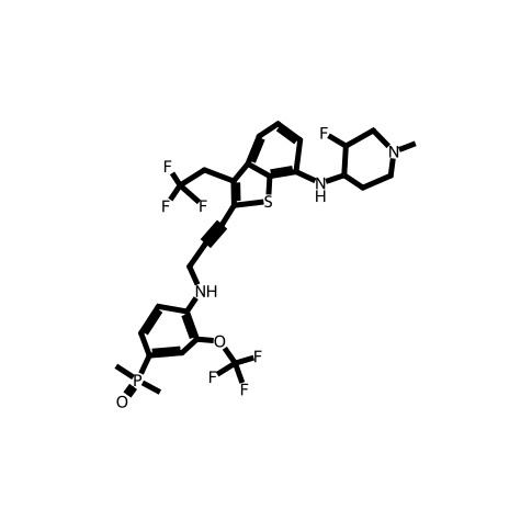 CN1CCC(Nc2cccc3c(CC(F)(F)F)c(C#CCNc4ccc(P(C)(C)=O)cc4OC(F)(F)F)sc23)C(F)C1